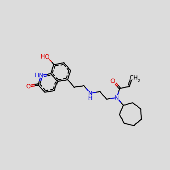 C=CC(=O)N(CCNCCc1ccc(O)c2[nH]c(=O)ccc12)C1CCCCCC1